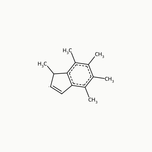 Cc1c(C)c(C)c2c(c1C)C=[C]C2C